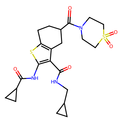 O=C(NCC1CC1)c1c(NC(=O)C2CC2)sc2c1CC(C(=O)N1CCS(=O)(=O)CC1)CC2